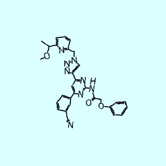 COC(C)c1cccc(Cn2cc(-c3cc(-c4cccc(C#N)c4)nc(NC(=O)COc4ccccc4)n3)nn2)n1